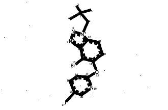 CC(C)(C)Cn1nnc2c(Br)c(Oc3ccc(I)cn3)ccc21